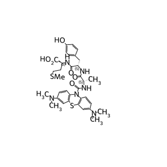 CSCC[C@H](NC(=O)[C@H](Cc1ccc(O)cc1)NC(=O)[C@H](C)NC(=O)N1c2ccc(N(C)C)cc2Sc2cc(N(C)C)ccc21)C(=O)O